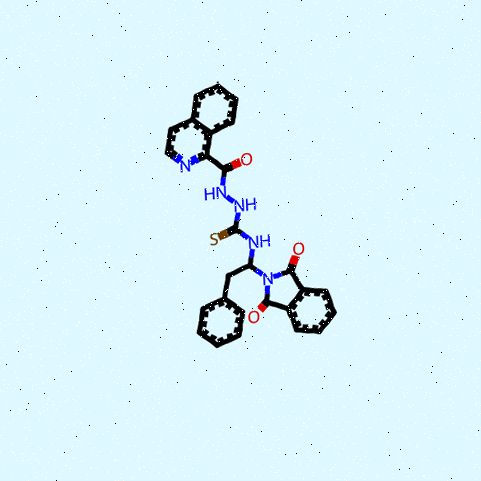 O=C(NNC(=S)NC(Cc1ccccc1)N1C(=O)c2ccccc2C1=O)c1nccc2c[c]ccc12